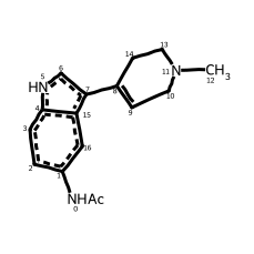 CC(=O)Nc1ccc2[nH]cc(C3=CCN(C)CC3)c2c1